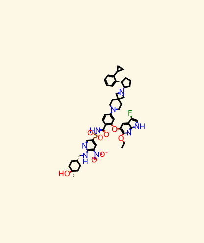 CCOc1nc2[nH]cc(F)c2cc1Oc1cc(N2CCC3(CC2)CN([C@@H]2CCC[C@@H]2c2ccccc2C2CC2)C3)ccc1C(=O)NS(=O)(=O)c1cnc(NC[C@H]2CC[C@](C)(O)CC2)c([N+](=O)[O-])c1